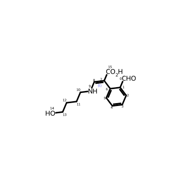 O=Cc1ccccc1/C(=C\NCCCCO)C(=O)O